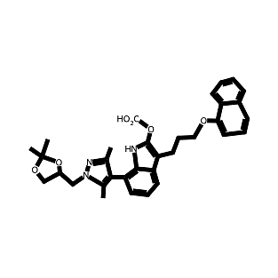 Cc1nn(CC2COC(C)(C)O2)c(C)c1-c1cccc2c(CCCOc3cccc4ccccc34)c(OC(=O)O)[nH]c12